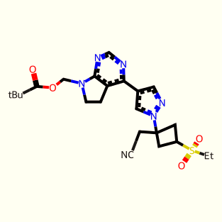 CCS(=O)(=O)C1CC(CC#N)(n2cc(-c3ncnc4c3CCN4COC(=O)C(C)(C)C)cn2)C1